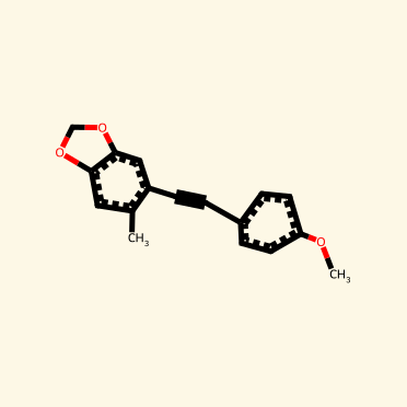 COc1ccc(C#Cc2cc3c(cc2C)OCO3)cc1